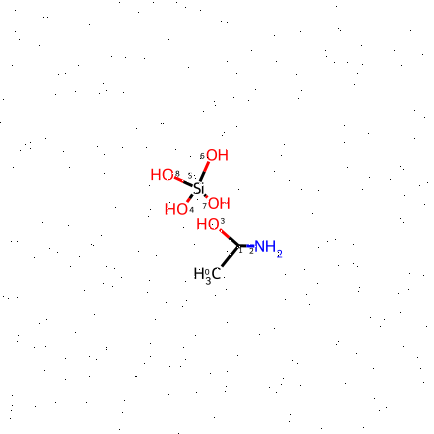 CC(N)O.O[Si](O)(O)O